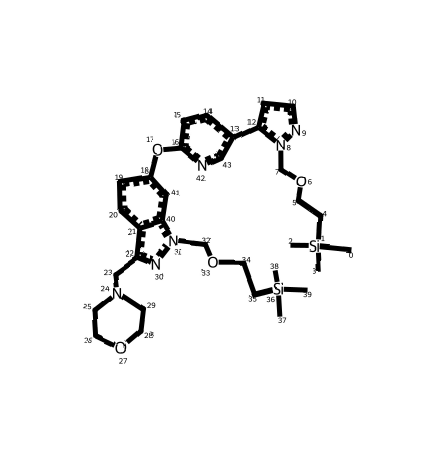 C[Si](C)(C)CCOCn1nccc1-c1ccc(Oc2ccc3c(CN4CCOCC4)nn(COCC[Si](C)(C)C)c3c2)nc1